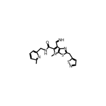 Cc1cccc(CNC(=O)c2c(C=N)c3nc(Cc4ccns4)sc3n2C)n1